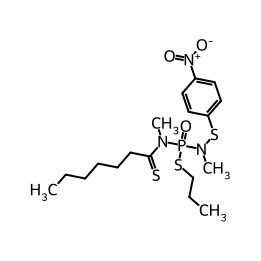 CCCCCCC(=S)N(C)P(=O)(SCCC)N(C)Sc1ccc([N+](=O)[O-])cc1